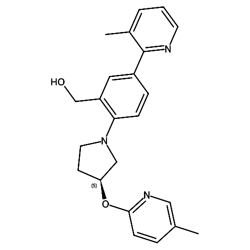 Cc1ccc(O[C@H]2CCN(c3ccc(-c4ncccc4C)cc3CO)C2)nc1